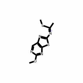 COc1ncc2nc(/N=C(/C)SC)sc2n1